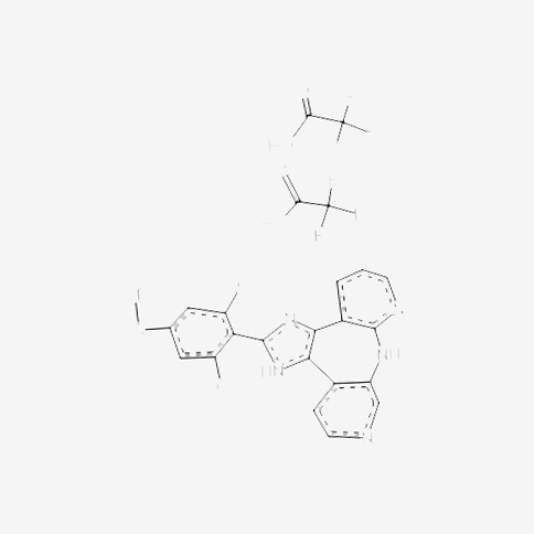 CC(C)Sc1cc(Cl)c(-c2nc3c([nH]2)-c2ccncc2Nc2ncccc2-3)c(Cl)c1.O=C(O)C(F)(F)F.O=C(O)C(F)(F)F